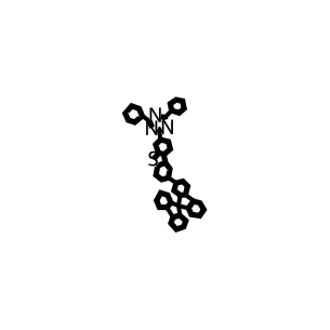 c1ccc(-c2nc(-c3ccccc3)nc(-c3ccc4c(c3)sc3ccc(-c5ccc6c(c5)C5(c7ccccc7-c7ccccc75)c5ccccc5-6)cc34)n2)cc1